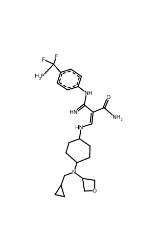 N=C(Nc1ccc(C(F)(F)P)cc1)/C(=C\NC1CCC(N(CC2CC2)C2COC2)CC1)C(N)=O